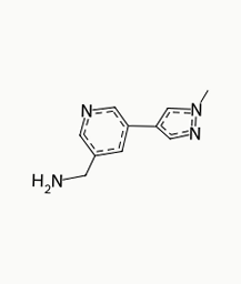 Cn1cc(-c2cncc(CN)c2)cn1